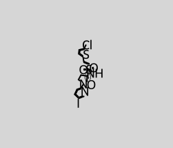 O=C1[C@@H](NS(=O)(=O)C=Cc2ccc(Cl)s2)CCN1c1ccc(I)cn1